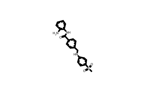 CS(=O)(=O)c1ccc(NCc2ccc(C(=O)Nc3ccccc3N)cc2)cc1